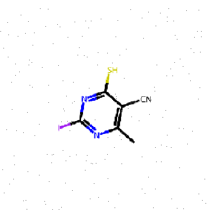 Cc1nc(I)nc(S)c1C#N